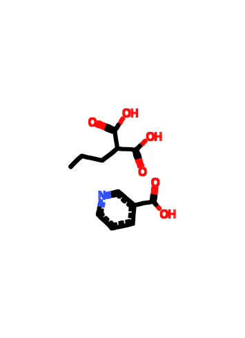 CCCC(C(=O)O)C(=O)O.O=C(O)c1cccnc1